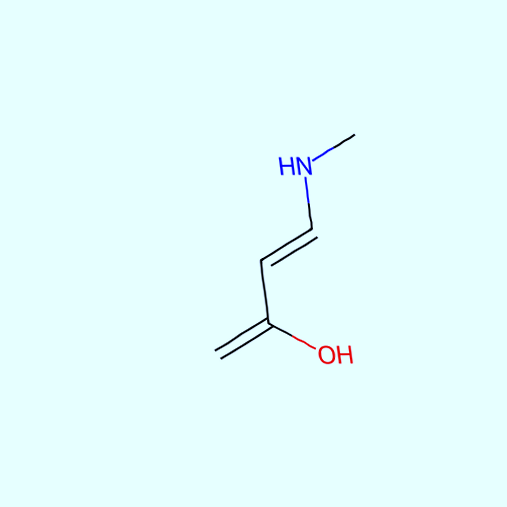 C=C(O)/C=C/NC